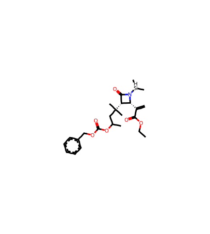 C=C(C(=O)OCC)[C@@H]1[C@H](C(C)(C)CC(C)OC(=O)OCc2ccccc2)C(=O)N1[SiH](C)C